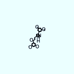 COc1cc(OC)cc(C(=O)/C=C/c2cc(-c3cc(OC)cc(OC)c3)n[nH]2)c1